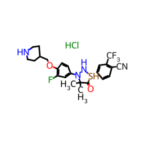 CC1(C)C(=O)[SH](c2ccc(C#N)c(C(F)(F)F)c2)NN1c1ccc(OCC2CCNCC2)c(F)c1.Cl